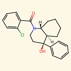 O=C(c1ccccc1Cl)N1CC[C@@](O)(c2ccccc2)[C@@H]2CCCC[C@H]21